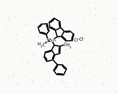 CC1=Cc2c(-c3ccccc3)cccc2[CH]1/[Zr+2]([CH]1c2ccccc2-c2ccccc21)=[Si](\C)c1ccccc1.[Cl-].[Cl-]